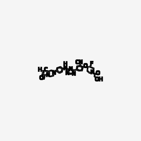 CC1CN(c2ccc(Nc3ncnc(-c4ccc(O[C@H]5CCN(C(=O)CO)CC5F)c(C#N)c4)n3)cc2)CCN1C1COC1